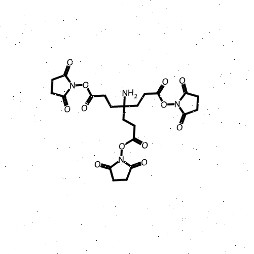 NC(CCC(=O)ON1C(=O)CCC1=O)(CCC(=O)ON1C(=O)CCC1=O)CCC(=O)ON1C(=O)CCC1=O